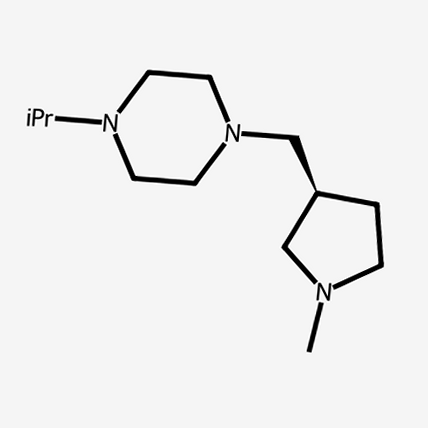 CC(C)N1CCN(C[C@H]2CCN(C)C2)CC1